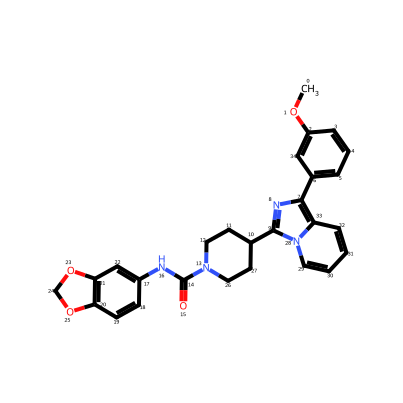 COc1cccc(-c2nc(C3CCN(C(=O)Nc4ccc5c(c4)OCO5)CC3)n3ccccc23)c1